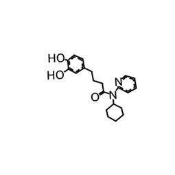 O=C(CCCc1ccc(O)c(O)c1)N(c1ccccn1)C1CCCCC1